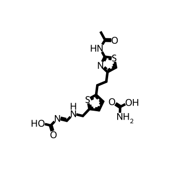 CC(=O)Nc1nc(CCc2ccc(CNC=NC(=O)O)s2)cs1.NC(=O)O